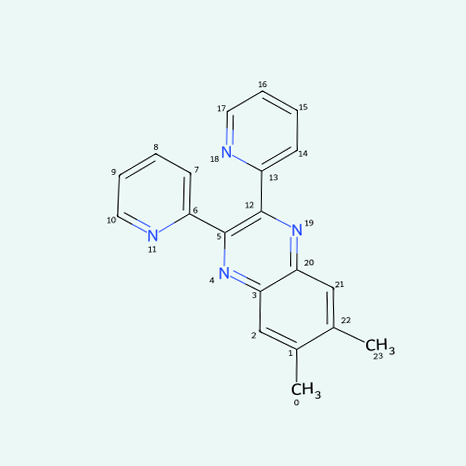 Cc1cc2nc(-c3ccccn3)c(-c3ccccn3)nc2cc1C